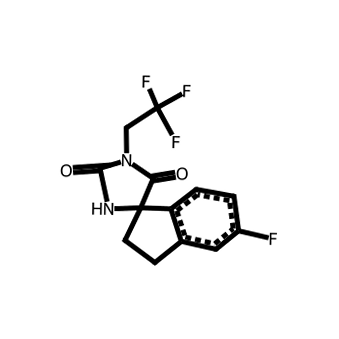 O=C1NC2(CCc3cc(F)ccc32)C(=O)N1CC(F)(F)F